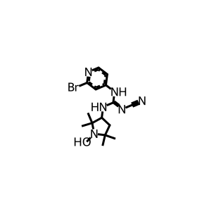 CC1(C)CC(N/C(=N/C#N)Nc2ccnc(Br)c2)C(C)(C)N1O